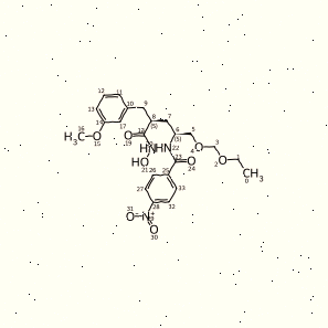 CCOCOC[C@H](C[C@H](Cc1cccc(OC)c1)C(=O)NO)NC(=O)c1ccc([N+](=O)[O-])cc1